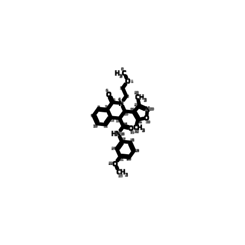 COCCN1C(=O)c2ccccc2C(C(=O)Nc2cccc(OC)c2)C1c1c(C)noc1C